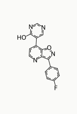 Oc1ncncc1-c1ccnc2c(-c3ccc(F)cc3)noc12